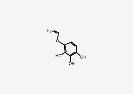 C=COc1ccc(O)c(O)c1O